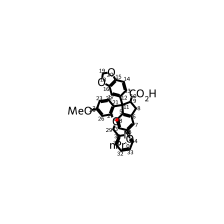 CCCOc1ccc2c(c1)CC(C(=O)O)C2(c1ccc2c(c1)OCO2)c1ccc(OC)cc1OCc1ccccn1